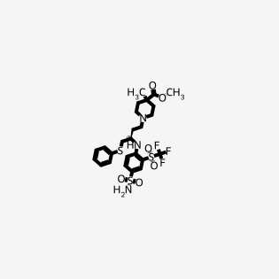 COC(=O)C1(C)CCN(CC[C@H](CSc2ccccc2)Nc2ccc(S(N)(=O)=O)cc2S(=O)(=O)C(F)(F)F)CC1